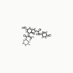 CN(C)N(C(=O)C1CCCCC1)c1cc(O)cc2cc(C(=O)Nc3ccc(Cl)cn3)oc12